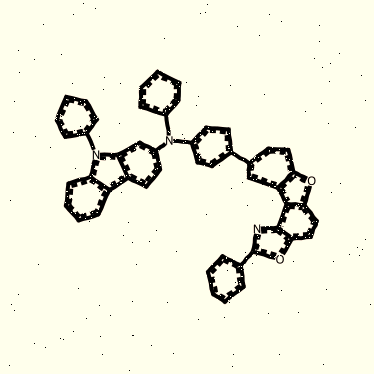 c1ccc(-c2nc3c(ccc4oc5ccc(-c6ccc(N(c7ccccc7)c7ccc8c9ccccc9n(-c9ccccc9)c8c7)cc6)cc5c43)o2)cc1